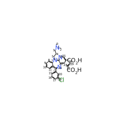 CN(C)CCCN1c2ccccc2C(c2cccc(Cl)c2)=Nc2cccnc21.O=C(O)/C=C/C(=O)O